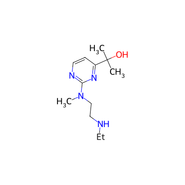 CCNCCN(C)c1nccc(C(C)(C)O)n1